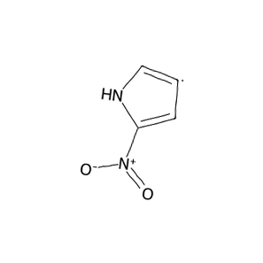 O=[N+]([O-])c1c[c]c[nH]1